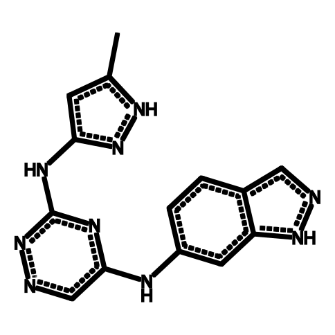 Cc1cc(Nc2nncc(Nc3ccc4cn[nH]c4c3)n2)n[nH]1